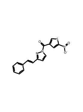 O=C(c1csc([N+](=O)[O-])c1)n1ccc(/C=C/c2ccccc2)n1